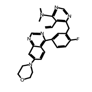 C=Cc1c(Cc2cc(-c3ncnc4cc(N5CCOCC5)ccc34)ccc2F)ncnc1N(C)C